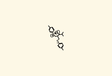 Cc1ccc(SCC(CS(=O)(=O)c2ccc(C)cc2)C(=O)C(C)C)cc1